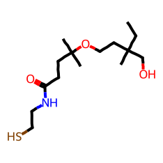 CCC(C)(CO)CCOC(C)(C)CCC(=O)NCCS